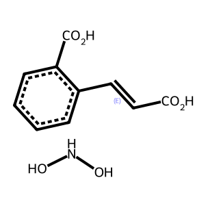 O=C(O)/C=C/c1ccccc1C(=O)O.ONO